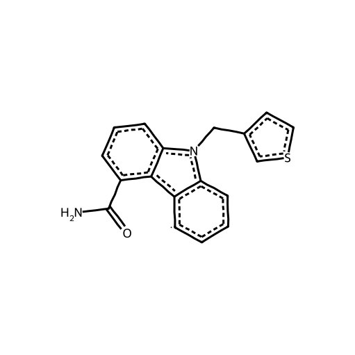 NC(=O)c1cccc2c1c1[c]cccc1n2Cc1ccsc1